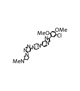 CNC1CCN(c2cc(N3CCN(c4ccn5cc(-c6cc(Cl)c(OC)cc6OC)nc5c4)CC3)ncn2)C1